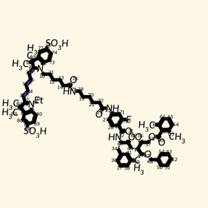 CC[N+]1=C(/C=C/C=C/C=C2\N(CCCCCC(=O)NCCCCCC(=O)Nc3ccc(C(=O)N[C@@H](Cc4cccc(C)c4)C(=O)C[C@@H](COCc4ccccc4)C(=O)COC(=O)c4c(C)cccc4C)c(F)c3)c3ccc(S(=O)(=O)O)cc3C2(C)C)C(C)(C)c2cc(S(=O)(=O)O)ccc21